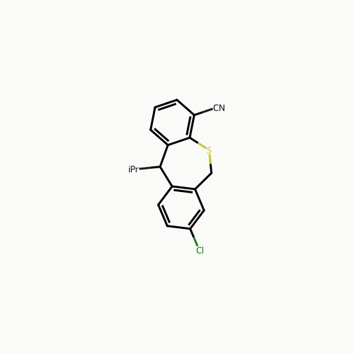 CC(C)C1c2ccc(Cl)cc2CSc2c(C#N)cccc21